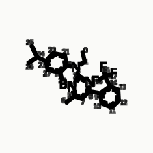 CCN(c1nc(C)cc(-c2ccccc2C(F)(F)F)n1)c1ccc(C(C)C)cc1Br